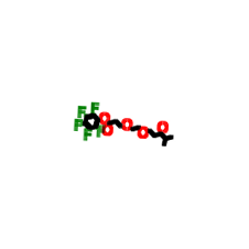 CC(C)C(=O)CCOCCOCCC(=O)Oc1c(F)c(F)c(F)c(F)c1F